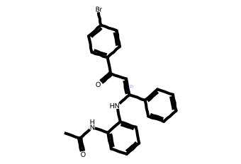 CC(=O)Nc1ccccc1N/C(=C\C(=O)c1ccc(Br)cc1)c1ccccc1